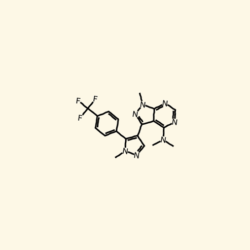 CN(C)c1ncnc2c1c(-c1cnn(C)c1-c1ccc(C(F)(F)F)cc1)nn2C